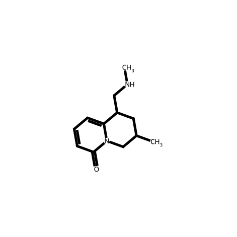 CNCC1CC(C)Cn2c1cccc2=O